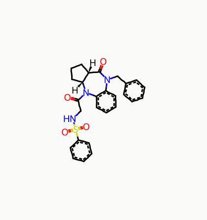 O=C1[C@H]2CCC[C@H]2N(C(=O)CNS(=O)(=O)c2ccccc2)c2ccccc2N1Cc1ccccc1